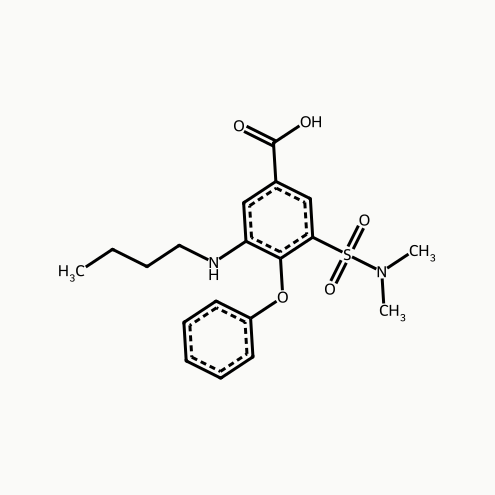 CCCCNc1cc(C(=O)O)cc(S(=O)(=O)N(C)C)c1Oc1ccccc1